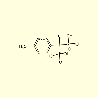 Cc1ccc(C(Cl)(P(=O)(O)O)P(=O)(O)O)cc1